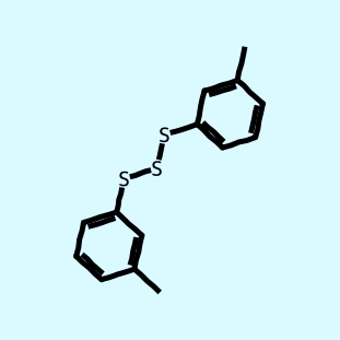 Cc1cccc(SSSc2cccc(C)c2)c1